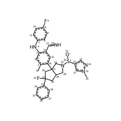 Cc1cc(Nc2ccc(F)cc2)c(C=N)cc1C12CN([S+]([O-])c3cnn(C)c3)CC1CC(F)(c1ccccc1)C2